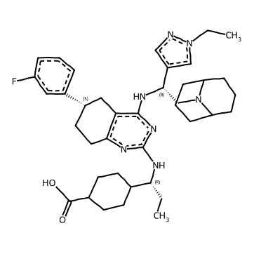 CC[C@@H](Nc1nc2c(c(N[C@@H](CN3C4CCCC3CCC4)c3cnn(CC)c3)n1)C[C@@H](c1cccc(F)c1)CC2)C1CCC(C(=O)O)CC1